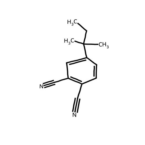 CCC(C)(C)c1ccc(C#N)c(C#N)c1